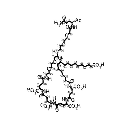 CC(=O)[C@H](CCC(N)=O)NC(=O)COCCOCCNC(=O)COCCOCCNC(=O)CC[C@@H](NC(=O)CC[C@H](NC(=O)CC[C@@H](NC(=O)CC[C@H](NC(=O)CCCCCCCCCCCCCCCCC(=O)O)C(=O)O)C(=O)O)C(=O)O)C(=O)O